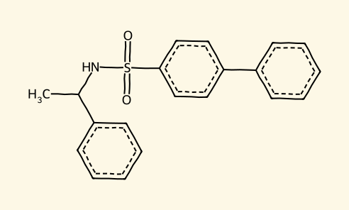 CC(NS(=O)(=O)c1ccc(-c2ccccc2)cc1)c1ccccc1